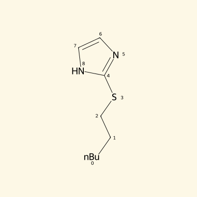 CCCCCCSc1ncc[nH]1